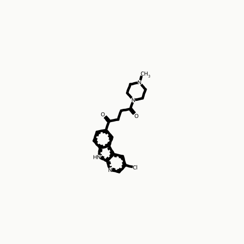 CN1CCN(C(=O)CCC(=O)c2ccc3[nH]c4ncc(Cl)cc4c3c2)CC1